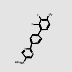 CCCCCCCc1cnc(-c2ccc(-c3ccc(CCC)c(F)c3F)cc2)nc1